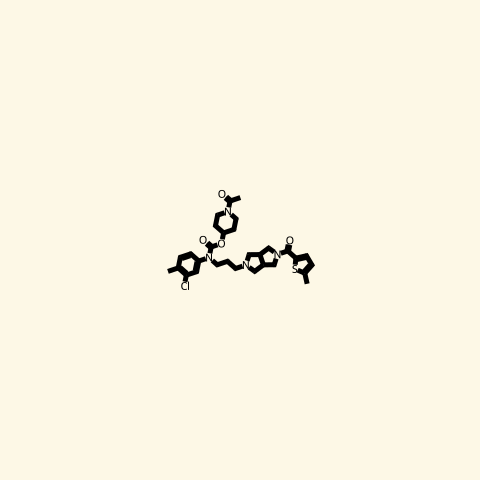 CC(=O)N1CCC(OC(=O)N(CCCN2CC3CN(C(=O)c4ccc(C)s4)CC3C2)c2ccc(C)c(Cl)c2)CC1